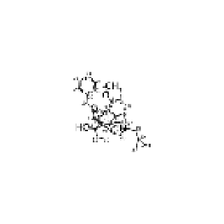 COc1ccc2c3c1O[C@H]1[C@@]4(O)CC[C@@]5(C[C@@H]4COCc4ccccc4)C(C2)N(CC2CC2)CC[C@]315